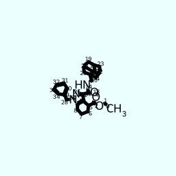 CCOC(=O)C1CCCc2c1c(C(=O)NCC13CC4CC(CC(C4)C1)C3)nn2Cc1ccccc1